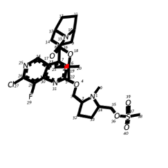 CN1C(COc2nc(N3CC4CCC(C3)N4C(=O)OC(C)(C)C)c3cnc(Cl)c(F)c3n2)CCC1COS(C)(=O)=O